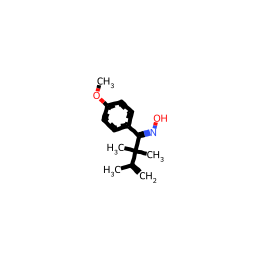 C=C(C)C(C)(C)/C(=N/O)c1ccc(OC)cc1